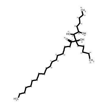 CCCCCCCCCCCCCCCCCC(=O)C(O)(CCCCC)C(O)C(O)CCCCC